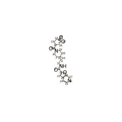 O=C(NCC1CC12CCN(C(=O)C1CCS(=O)(=O)C1)CC2)c1cc2ccncc2o1